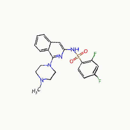 CN1CCN(c2nc(NS(=O)(=O)c3ccc(F)cc3F)cc3ccccc23)CC1